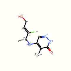 C[C@@H](Nc1cn[nH]c(=O)c1C(F)(F)F)/C(F)=C/CO